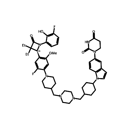 CCC1(CC)C(=O)N(c2cccc(F)c2O)[C@H]1c1cc(F)c(N2CCC(CN3CCN(CC4CCC(n5ccc6cc(N7CCC(=O)NC7=O)ccc65)CC4)CC3)CC2)cc1OC